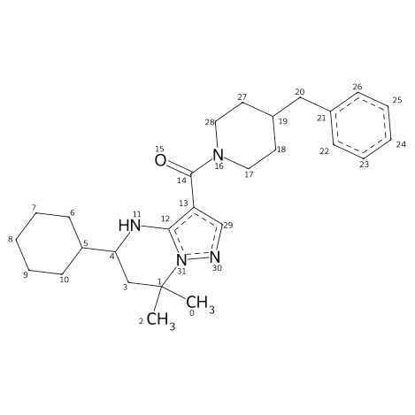 CC1(C)CC(C2CCCCC2)Nc2c(C(=O)N3CCC(Cc4ccccc4)CC3)cnn21